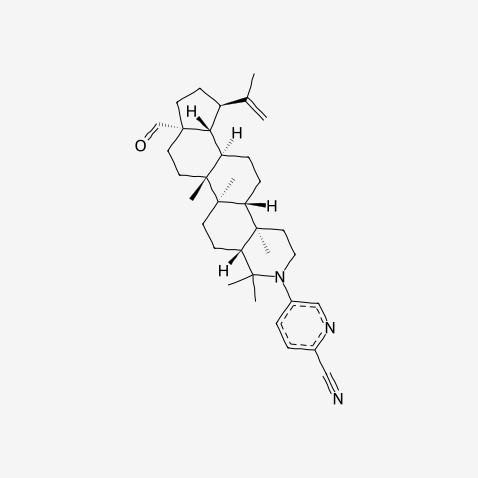 C=C(C)[C@@H]1CC[C@]2(C=O)CC[C@]3(C)[C@H](CC[C@@H]4[C@@]5(C)CCN(c6ccc(C#N)nc6)C(C)(C)[C@@H]5CC[C@]43C)[C@@H]12